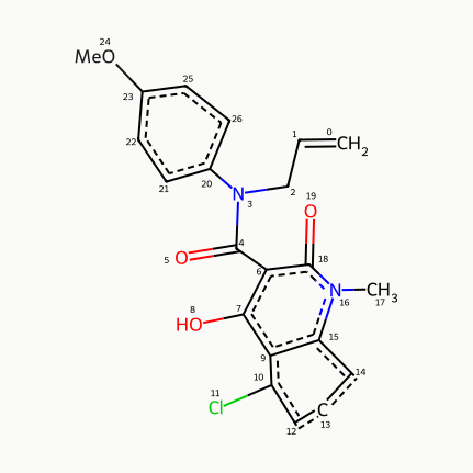 C=CCN(C(=O)c1c(O)c2c(Cl)cccc2n(C)c1=O)c1ccc(OC)cc1